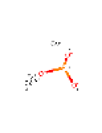 [Cs+].[Cs+].[Cs+].[O-]P([O-])[O-]